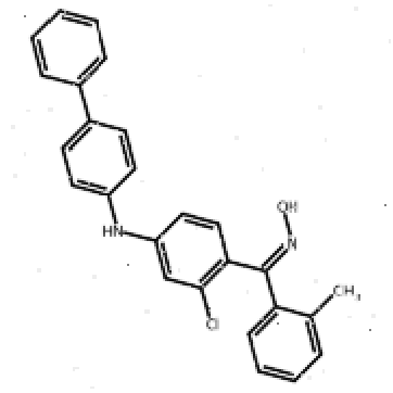 Cc1ccccc1C(=NO)c1ccc(Nc2ccc(-c3ccccc3)cc2)cc1Cl